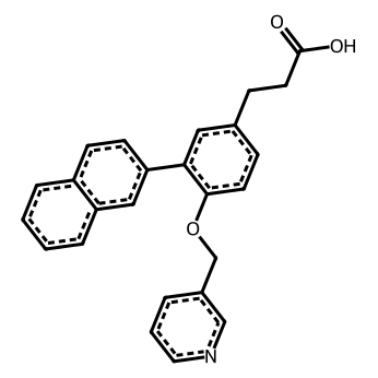 O=C(O)CCc1ccc(OCc2cccnc2)c(-c2ccc3ccccc3c2)c1